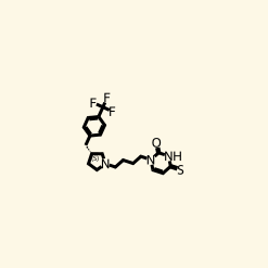 O=c1[nH]c(=S)ccn1CCCCN1CC[C@H](Cc2ccc(C(F)(F)F)cc2)C1